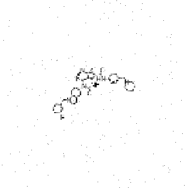 O=C(Nc1ccc(CN2CCCCC2)cc1)c1sc2ncnc3c2c1NC(=O)N3c1ccc2c(ccn2Cc2cccc(F)c2)c1